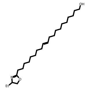 CCC1COC(CCCCCCCCC=CCCCCCCCCCCO)=N1